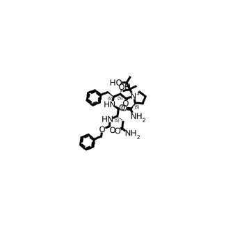 CC(O)C(C)(C)[N+]1(C(=O)[C@@H](O)[C@H](Cc2ccccc2)NC(=O)[C@H](CC(N)=O)NC(=O)OCc2ccccc2)CCC[C@H]1C(N)=O